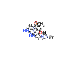 CC(C)N1CCN2c3ccc(Nc4nc(Nc5ccccc5P(C)(C)=O)c5cc[nH]c5n4)cc3OC[C@H]2C1